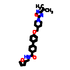 CC(C)c1noc(N2CCC(COc3ccc(C4=CCC(C(=O)NCc5ccco5)CC4)cc3)CC2)n1